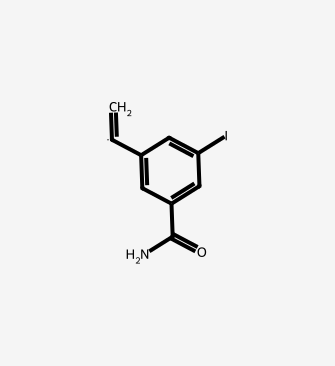 C=[C]c1cc(I)cc(C(N)=O)c1